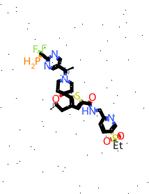 CCS(=O)(=O)c1ccc(CNC(=O)c2cc3c(s2)C2(CCN([C@H](C)c4cnc(C(F)(F)P)nc4)CC2)O[C@@H](C)C3)nc1